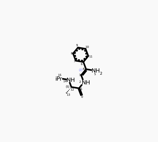 C=C(N/C=C(\N)c1ccccc1)[C@H](C)NC(C)C